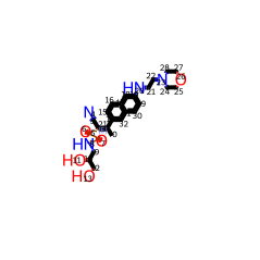 C/C(=C(/C#N)S(=O)(=O)NCC(O)CO)c1ccc2cc(NCCN3CCOCC3)ccc2c1